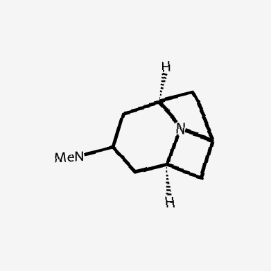 CNC1C[C@@H]2CC3C[C@H](C1)N32